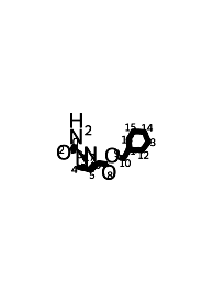 NC(=O)n1ccc(C(=O)OCC2CCCCC2)n1